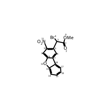 COC(=O)C(Br)c1cc2c(cc1[N+](=O)[O-])oc1ccccc12